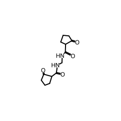 O=C1CCCC1C(=O)NCNC(=O)C1CCCC1=O